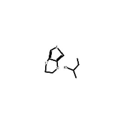 CCC(C)O.c1scc2c1OCCO2